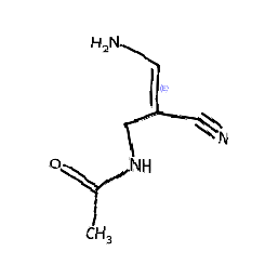 CC(=O)NC/C(C#N)=C\N